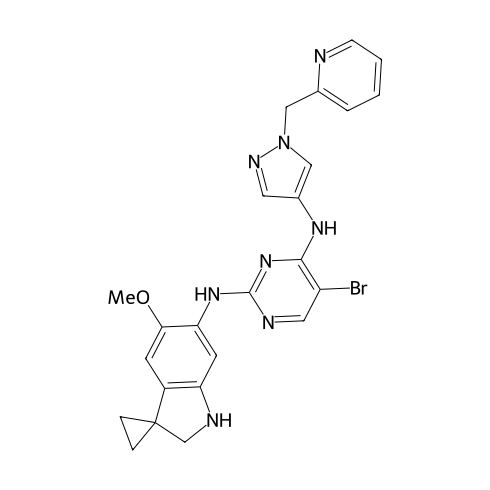 COc1cc2c(cc1Nc1ncc(Br)c(Nc3cnn(Cc4ccccn4)c3)n1)NCC21CC1